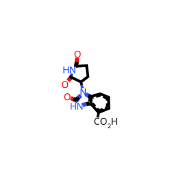 O=C1CCC(n2c(=O)[nH]c3c(C(=O)O)cccc32)C(=O)N1